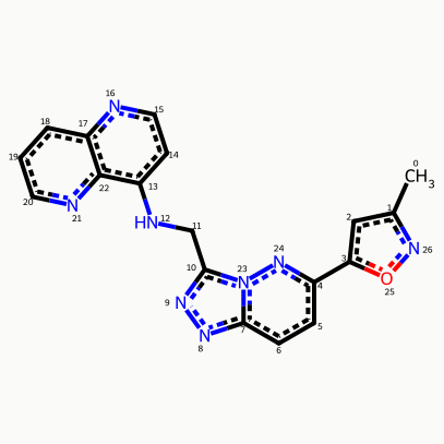 Cc1cc(-c2ccc3nnc(CNc4ccnc5cccnc45)n3n2)on1